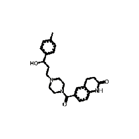 Cc1ccc(C(O)CCN2CCN(C(=O)c3ccc4c(c3)CCC(=O)N4)CC2)cc1